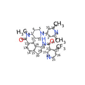 Cc1cc(N2CCC(N(C)C(=O)c3ccc4c(c3)C(NC(=O)c3cnccc3C(F)(F)F)CC4)CC2)cc(C)n1